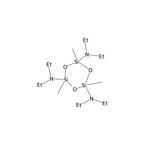 CCN(CC)[Si]1(C)O[Si](C)(N(CC)CC)O[Si](C)(N(CC)CC)O1